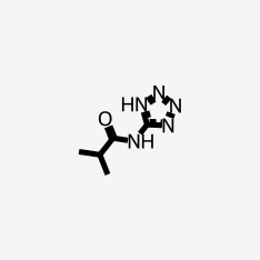 CC(C)C(=O)Nc1nnn[nH]1